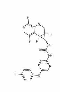 O=C(Nc1ccc(Oc2ccc(F)cc2)cn1)N[C@@H]1[C@@H]2COc3c(F)ccc(F)c3[C@@H]21